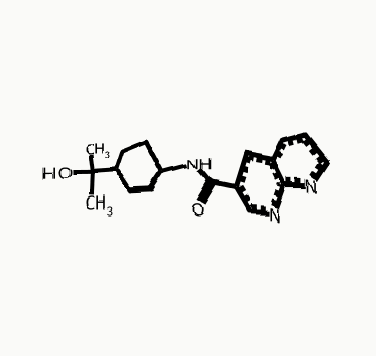 CC(C)(O)C1CCC(NC(=O)c2cnc3ncccc3c2)CC1